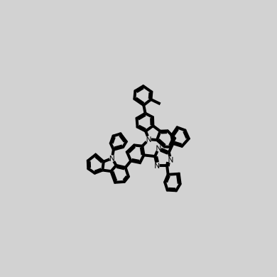 Cc1ccccc1-c1ccc2c(c1)c1ccccc1n2-c1ccc(-c2cccc3c4ccccc4n(-c4ccccc4)c23)cc1-c1nc(-c2ccccc2)nc(-c2ccccc2)n1